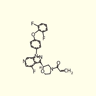 C=CC(=O)N1CCO[C@@H](c2nn(-c3ccc(Oc4c(F)cccc4F)cc3)c3cncc(F)c23)C1